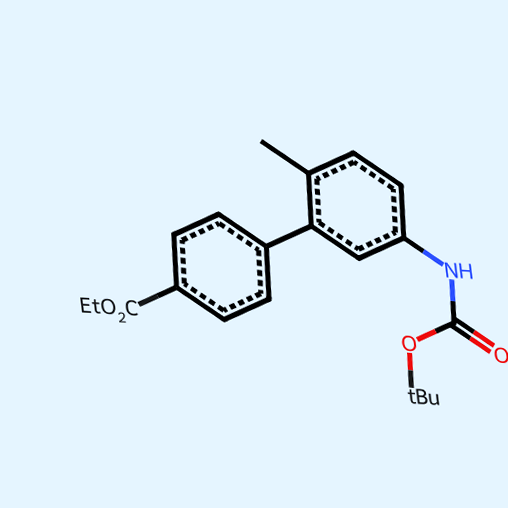 CCOC(=O)c1ccc(-c2cc(NC(=O)OC(C)(C)C)ccc2C)cc1